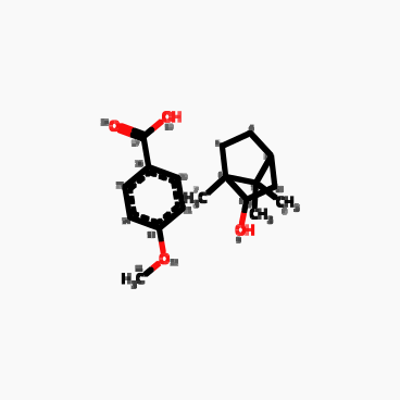 CC1(C)C2CCC1(C)C(O)C2.COc1ccc(C(=O)O)cc1